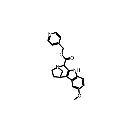 COc1ccc2[nH]c3c(c2c1)C1CCN(C1)C3C(=O)OCc1ccncc1